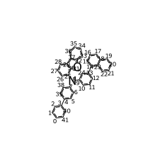 c1ccc(-c2ccc(N(c3cccc(-c4cccc5ccccc45)c3)c3cccc4c3oc3ccccc34)cc2)cc1